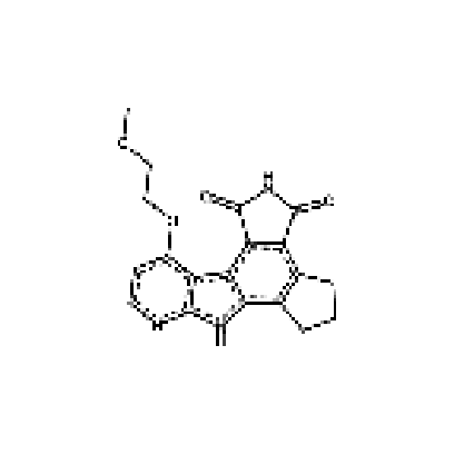 COCCOc1ccnc2[nH]c3c4c(c5c(c3c12)C(=O)NC5=O)CCC4